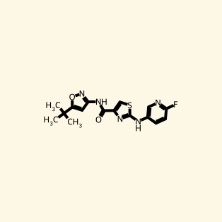 CC(C)(C)c1cc(NC(=O)c2csc(Nc3ccc(F)nc3)n2)no1